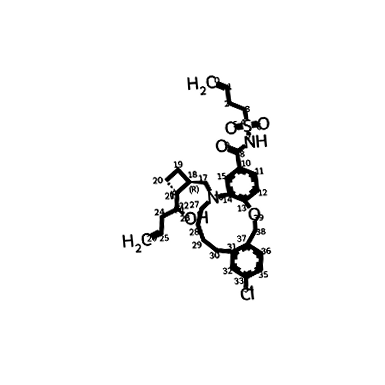 C=CCCS(=O)(=O)NC(=O)c1ccc2c(c1)N(C[C@@H]1CC[C@H]1[C@@H](O)CC=C)CCCCc1cc(Cl)ccc1CO2